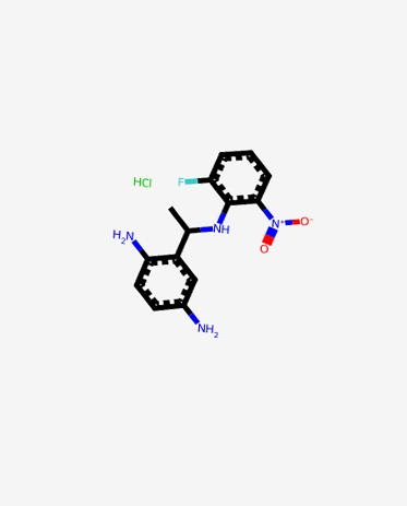 CC(Nc1c(F)cccc1[N+](=O)[O-])c1cc(N)ccc1N.Cl